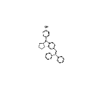 Oc1ccc(N2c3ccc(C=C(c4ccccc4)c4ccccc4)cc3C3CCCC32)cc1